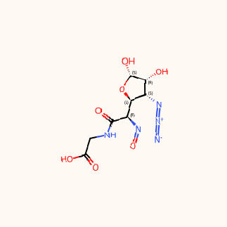 [N-]=[N+]=N[C@H]1[C@@H](O)[C@@H](O)O[C@@H]1[C@@H](N=O)C(=O)NCC(=O)O